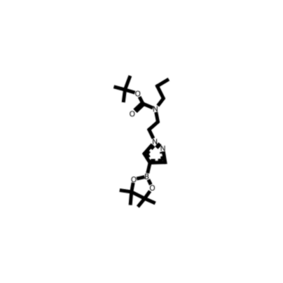 CCCN(CCn1cc(B2OC(C)(C)C(C)(C)O2)cn1)C(=O)OC(C)(C)C